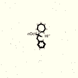 CCCCCCCCC(C)(Cc1ccccc1)N1CCCCCC1.I